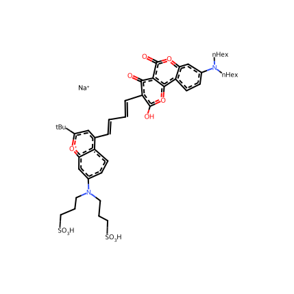 CCCCCCN(CCCCCC)c1ccc2c(c1)oc(=O)c1c(=O)c(C=CC=Cc3cc(C(C)(C)C)[o+]c4cc(N(CCCS(=O)(=O)O)CCCS(=O)(=O)O)ccc34)c(O)oc12.[Na+]